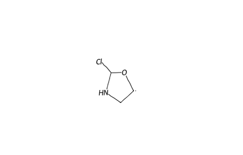 ClC1NC[CH]O1